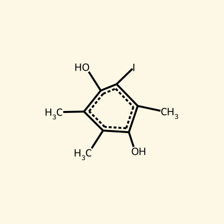 Cc1c(C)c(O)c(I)c(C)c1O